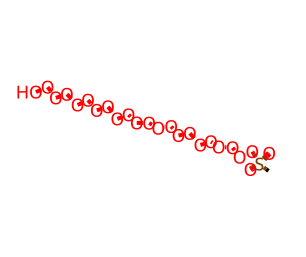 CS(=O)(=O)OOOOOOOOOOOOOOOOOOOOOO